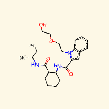 CC(C)C[C@@H](C#N)NC(=O)[C@@H]1CCCC[C@@H]1NC(=O)c1cc2ccccc2n1CCOCCO